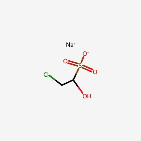 O=S(=O)([O-])C(O)CCl.[Na+]